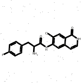 NC(Cc1ccc(F)cc1)C(=O)Nc1cc2cc[nH]c(=O)c2cc1Cl